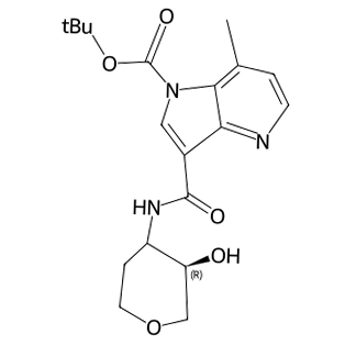 Cc1ccnc2c(C(=O)NC3CCOC[C@@H]3O)cn(C(=O)OC(C)(C)C)c12